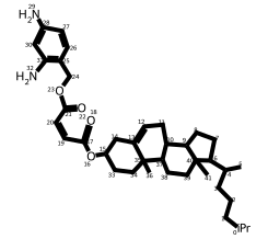 CC(C)CCCC(C)C1CCC2C3CC=C4CC(OC(=O)/C=C\C(=O)OCc5ccc(N)cc5N)CCC4(C)C3CCC12C